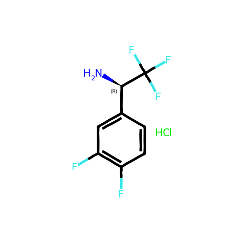 Cl.N[C@H](c1ccc(F)c(F)c1)C(F)(F)F